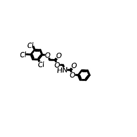 O=C(COc1cc(Cl)c(Cl)cc1Cl)OCNC(=O)Oc1ccccc1